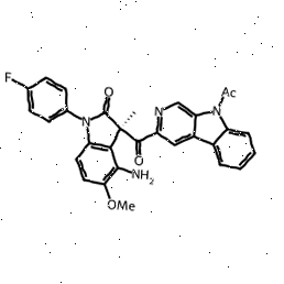 COc1ccc2c(c1N)[C@](C)(C(=O)c1cc3c4ccccc4n(C(C)=O)c3cn1)C(=O)N2c1ccc(F)cc1